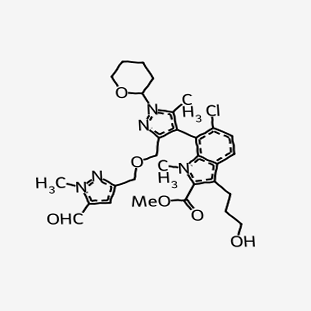 COC(=O)c1c(CCCO)c2ccc(Cl)c(-c3c(COCc4cc(C=O)n(C)n4)nn(C4CCCCO4)c3C)c2n1C